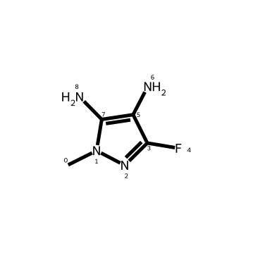 Cn1nc(F)c(N)c1N